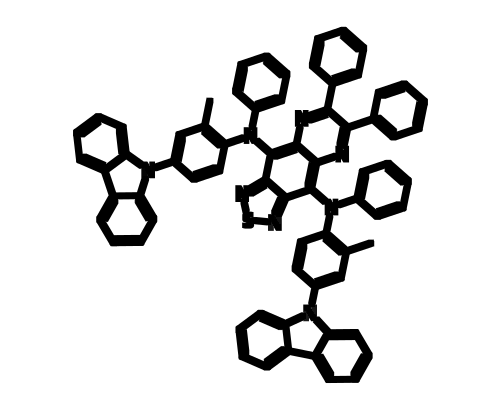 Cc1cc(-n2c3ccccc3c3ccccc32)ccc1N(c1ccccc1)c1c2nsnc2c(N(c2ccccc2)c2ccc(-n3c4ccccc4c4ccccc43)cc2C)c2nc(-c3ccccc3)c(-c3ccccc3)nc12